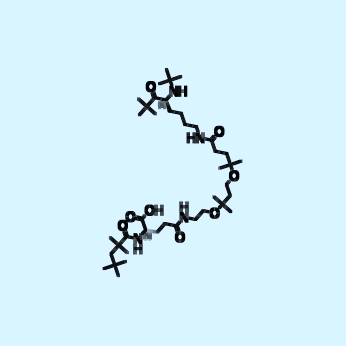 CC(C)(C)CC(C)(C)C(=O)N[C@@H](CCC(=O)NCCOC(C)(C)CCOC(C)(C)CCC(=O)NCCCC[C@H](NC(C)(C)C)C(=O)C(C)(C)C)C(=O)O